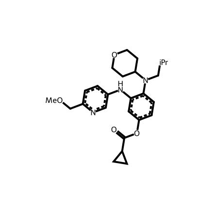 COCc1ccc(Nc2cc(OC(=O)C3CC3)ccc2N(CC(C)C)C2CCOCC2)cn1